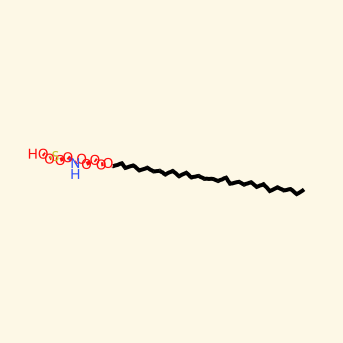 CCCCCCCCCCCCCCCCCCCCCCCCCCCCCCOOOOONOOSOO